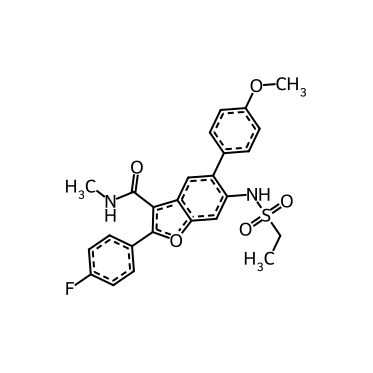 CCS(=O)(=O)Nc1cc2oc(-c3ccc(F)cc3)c(C(=O)NC)c2cc1-c1ccc(OC)cc1